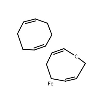 C1=CCCC=CCC1.C1=CCCC=CCC1.[Fe]